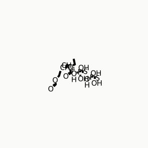 C.C.CC.CCOC=O.CCOC=O.OP(O)(O)=S.OP(O)(O)=S